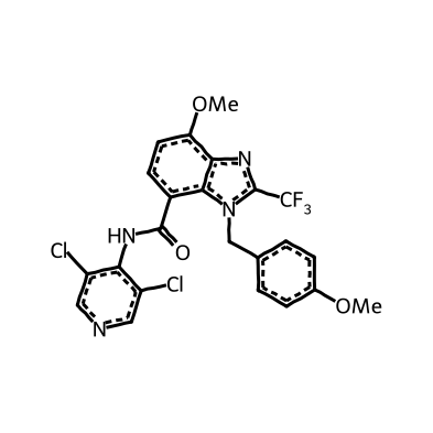 COc1ccc(Cn2c(C(F)(F)F)nc3c(OC)ccc(C(=O)Nc4c(Cl)cncc4Cl)c32)cc1